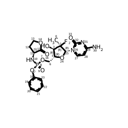 C[C@@]1(F)[C@H](O)[C@@H](COP(=O)(N[C@H]2CCOC2=O)Oc2ccccc2)O[C@H]1n1ccc(N)nc1=O